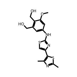 COc1cc(Nc2nc(-c3sc(C)nc3C)cs2)cc(CO)c1CO